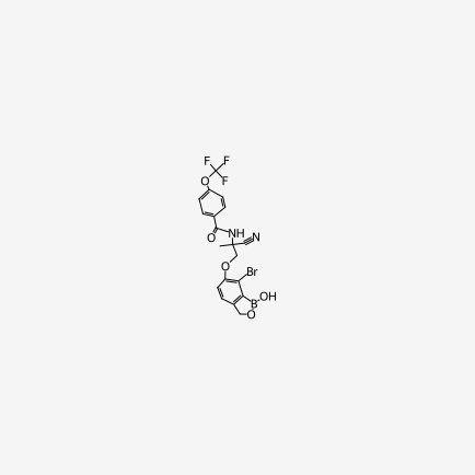 CC(C#N)(COc1ccc2c(c1Br)B(O)OC2)NC(=O)c1ccc(OC(F)(F)F)cc1